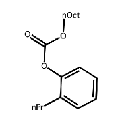 CCCCCCCCOC(=O)Oc1ccccc1CCC